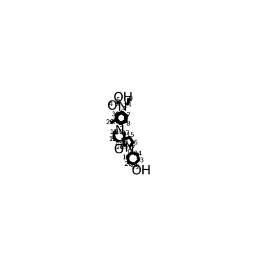 CCN(C(=O)O)c1ccc(N2CCC[C@]3(CCN(C4CCC(O)CC4)C3=O)C2)c(C)c1